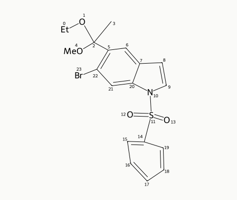 CCOC(C)(OC)c1cc2ccn(S(=O)(=O)c3ccccc3)c2cc1Br